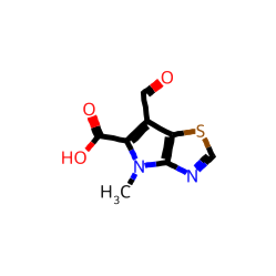 Cn1c(C(=O)O)c(C=O)c2scnc21